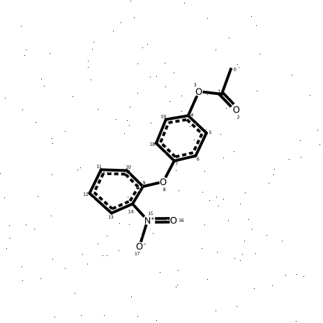 CC(=O)Oc1ccc(Oc2ccccc2[N+](=O)[O-])cc1